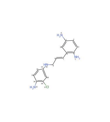 Nc1ccc(N)c(C=CCNc2ccc(N)c(Cl)c2)c1